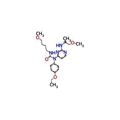 CCOc1ccc(N(C(=O)NCCCCOC)c2ccnc(N[C@@H](C)COC)n2)cc1